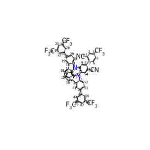 N#Cc1cc(C(F)(F)F)ccc1-c1cc(-n2c3ccccc3c3cc(-c4cc(C(F)(F)F)cc(C(F)(F)F)c4)ccc32)c(-n2c3ccccc3c3cc(-c4cc(C(F)(F)F)cc(C(F)(F)F)c4)ccc32)cc1C#N